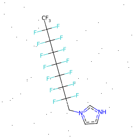 FC(F)(F)C(F)(F)C(F)(F)C(F)(F)C(F)(F)C(F)(F)C(F)(F)C(F)(F)C[n+]1cc[nH]c1